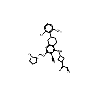 C=CC(=O)N1CC(Nc2c(C#N)c(OC[C@@H]3CCCN3C)nc3c2CCN(c2c(C)cccc2Cl)C3)C1